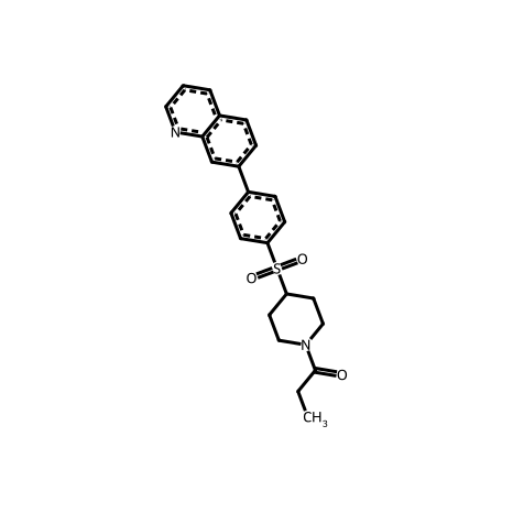 CCC(=O)N1CCC(S(=O)(=O)c2ccc(-c3ccc4cccnc4c3)cc2)CC1